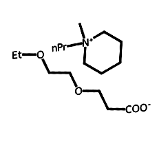 CCC[N+]1(C)CCCCC1.CCOCCOCCC(=O)[O-]